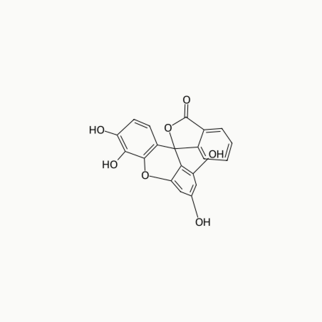 O=C1OC2(c3ccccc31)c1ccc(O)c(O)c1Oc1cc(O)cc(O)c12